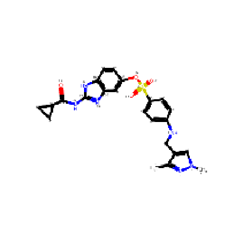 Cc1nn(C)cc1CNc1ccc(S(=O)(=O)Oc2ccc3[nH]c(NC(=O)C4CC4)nc3c2)cc1